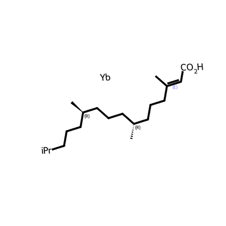 C/C(=C\C(=O)O)CCC[C@H](C)CCC[C@H](C)CCCC(C)C.[Yb]